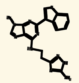 CC(C)n1cnc2c(NCCc3n[nH]c(N)n3)nc(-c3csc4ccccc34)nc21